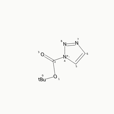 CC(C)(C)OC(=O)[N+]1C=CN=N1